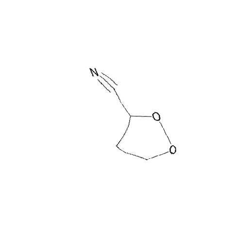 N#CC1CCOO1